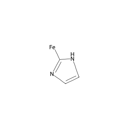 [Fe][c]1ncc[nH]1